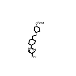 CCCCC[C@H]1CC[C@H](CCC2CCC(c3ncc(CCC)cn3)CC2)CC1